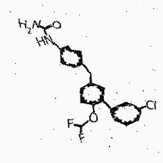 NC(=O)Nc1ccc(Cc2ccc(OC(F)F)c(-c3cccc(Cl)c3)c2)cc1